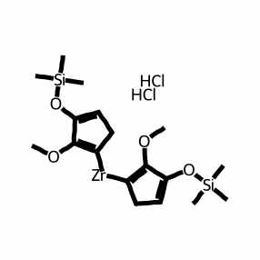 COC1=[C]([Zr][C]2=C(OC)C(O[Si](C)(C)C)=CC2)CC=C1O[Si](C)(C)C.Cl.Cl